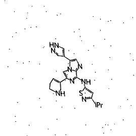 CC(C)c1cc(Nc2nc(C3=CCCNC3)cn3c(-c4cn[nH]c4)cnc23)sn1